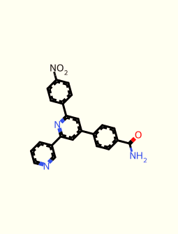 NC(=O)c1ccc(-c2cc(-c3ccc([N+](=O)[O-])cc3)nc(-c3cccnc3)c2)cc1